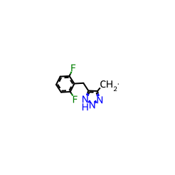 [CH2]c1nn[nH]c1Cc1c(F)cccc1F